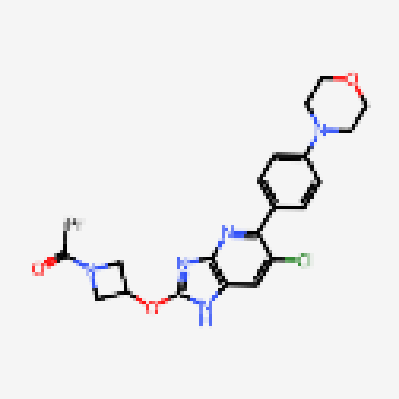 CC(C)C(=O)N1CC(Oc2nc3nc(-c4ccc(N5CCOCC5)cc4)c(Cl)cc3[nH]2)C1